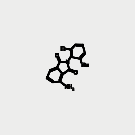 CCc1cccc(C(C)CC)c1N1C(=O)c2cccc(N)c2C1=O